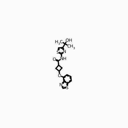 CC(C)(O)c1csc(NC(=O)C2CC(Oc3cccc4scnc34)C2)n1